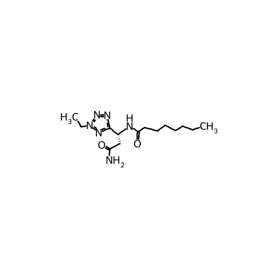 CCCCCCCC(=O)N[C@H](CC(N)=O)c1nnn(CC)n1